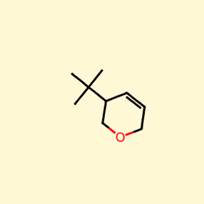 CC(C)(C)C1C=CCOC1